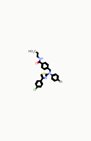 CCc1ccc(N(Cc2ccc(C(=O)NCCC(=O)O)cc2)c2nc(-c3ccc(Cl)cc3)cs2)cc1